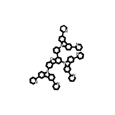 C1=NC(c2ccc3c(c2)c2cc(-c4ccccn4)ccc2n3-c2cccc(-c3cc(-n4c5ccc(-c6ccccn6)cc5c5cc(-c6ccccn6)ccc54)cc4c3oc3ccc(-n5c6ccc(-c7ccccn7)cc6c6cc(-c7ccccn7)ccc65)cc34)c2)=CCC1